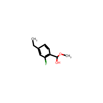 CCc1ccc(C(O)OC)c(F)c1